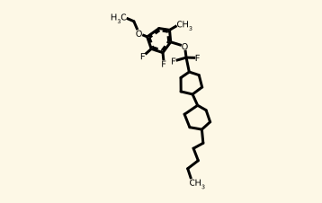 CCCCCC1CCC(C2CCC(C(F)(F)Oc3c(C)cc(OCC)c(F)c3F)CC2)CC1